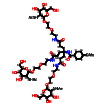 COC1CCC(C(=O)NC(CCC(=O)NCCOCCOC2OC(CO)C(O)C(O)C2NC(C)=O)(CCC(=O)NCCOCCOC2OC(CO)C(O)C(O)C2NC(C)=O)CCC(=O)NCCOCCOC2OC(CO)C(O)C(O)C2NC(C)=O)CC1